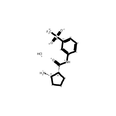 Cl.N[C@H]1CCC[C@H]1C(=O)Nc1cccc(S(=O)(=O)C(F)(F)F)c1